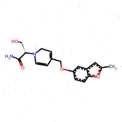 Cc1cc2cc(OCC3=CCN([C@@H](CO)C(N)=O)C=C3)ccc2o1